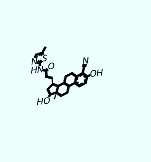 Cc1cnc(NC(=O)CC[C@@H]2CC(O)[C@@]3(C)CCC4c5ccc(O)c(C#N)c5CCC4C23)s1